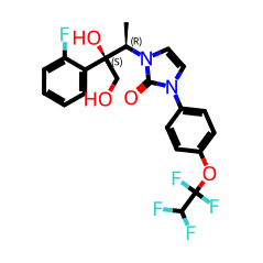 C[C@@H](n1ccn(-c2ccc(OC(F)(F)C(F)F)cc2)c1=O)[C@](O)(CO)c1ccccc1F